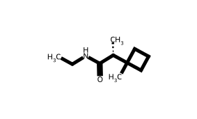 CCNC(=O)[C@H](C)C1(C)CCC1